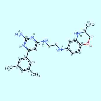 Cc1cc(C)cc(-c2cc(NCCNc3ccc4c(c3)NC(C=O)CO4)nc(N)n2)c1